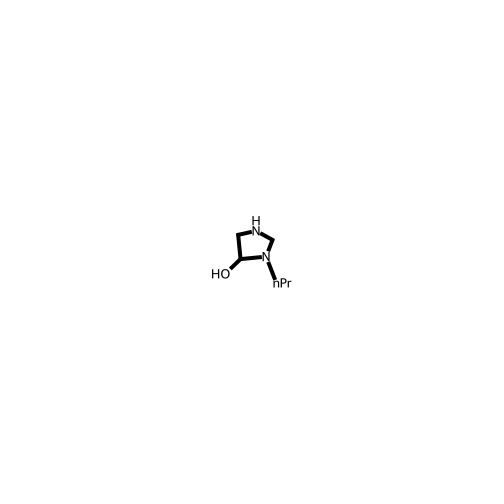 CCCN1CNCC1O